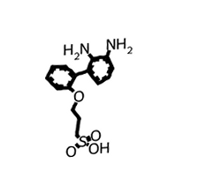 Nc1cccc(-c2ccccc2OCCCS(=O)(=O)O)c1N